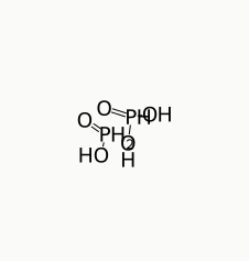 O=[PH2]O.O=[PH](O)O